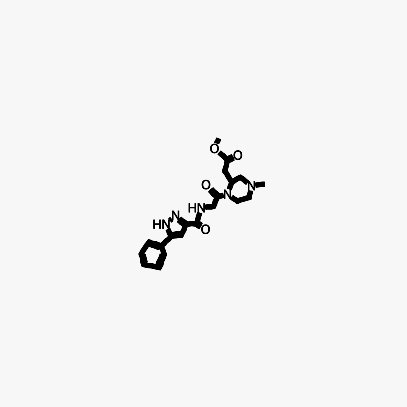 COC(=O)CC1CN(C)CCN1C(=O)CNC(=O)c1cc(-c2ccccc2)[nH]n1